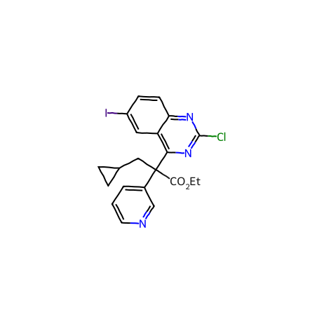 CCOC(=O)C(CC1CC1)(c1cccnc1)c1nc(Cl)nc2ccc(I)cc12